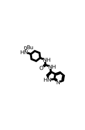 CCCCNC1CCC(NC(=O)Nc2c[nH]c3ncccc23)CC1